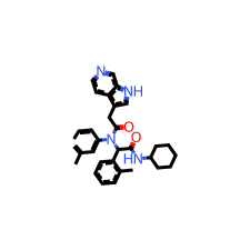 C=C(C)/C=C(\C=C/C)N(C(=O)Cc1c[nH]c2cnccc12)C(C(=O)NC1CCCCC1)c1ccccc1C